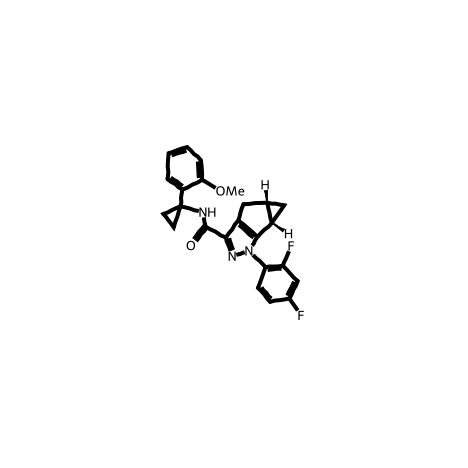 COc1ccccc1C1(NC(=O)c2nn(-c3ccc(F)cc3F)c3c2C[C@@H]2C[C@H]32)CC1